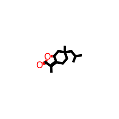 CC1=C2CCC(C)(CC(C)C)CC2OC1=O